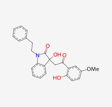 COc1ccc(O)c(C(=O)CC2(O)C(=O)N(CCc3ccccc3)c3ccccc32)c1